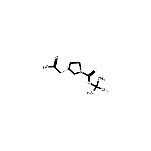 CC(C)(C)OC(=O)N1CC[C@@H](CC(=O)O)C1